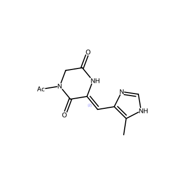 CC(=O)N1CC(=O)N/C(=C\c2nc[nH]c2C)C1=O